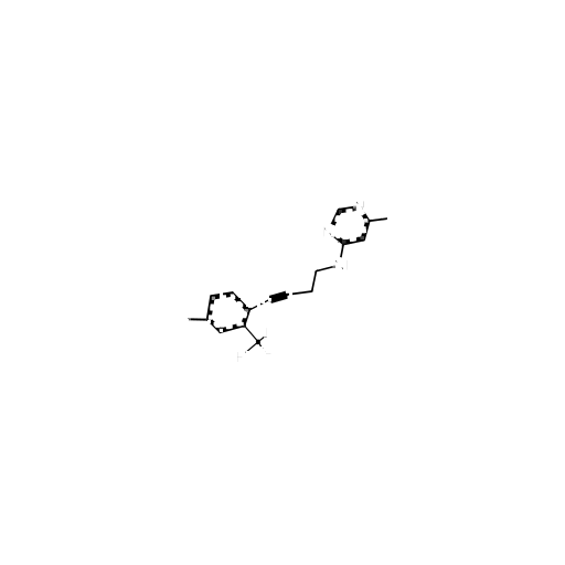 Cc1cc(NCCC#Cc2ccc(Cl)cc2C(F)(F)F)ncn1